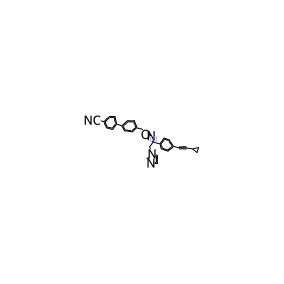 N#Cc1ccc(-c2ccc(CO/N=C(\Cn3ccnc3)c3ccc(C#CC4CC4)cc3)cc2)cc1